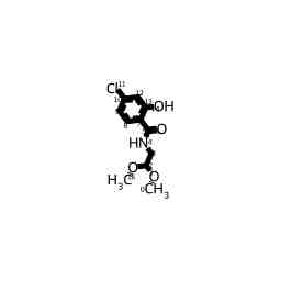 COC(CNC(=O)c1ccc(Cl)cc1O)OC